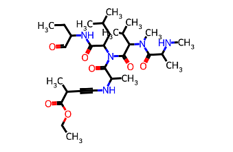 CCOC(=O)C(C)C#CNC(C)C(=O)N(C(=O)C(C(C)C)N(C)C(=O)C(C)NC)C(CC(C)C)C(=O)NC(C=O)CC